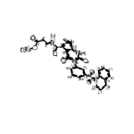 CC(C)(C)OC(=O)CCNC(=O)c1scc2[nH]c(=O)n(-c3cccc(S(=O)(=O)N4CCCc5ccccc54)c3)c(=O)c12